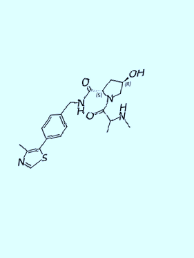 CNC(C)C(=O)N1C[C@H](O)C[C@H]1C(=O)NCc1ccc(-c2scnc2C)cc1